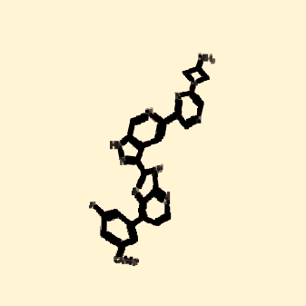 COc1cc(F)cc(-c2ccnc3[nH]c(-c4n[nH]c5cnc(-c6cncc(N7CC(N)C7)n6)cc45)nc23)c1